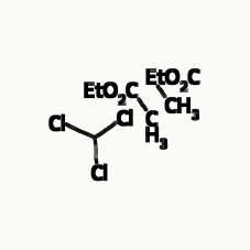 CCOC(C)=O.CCOC(C)=O.ClC(Cl)Cl